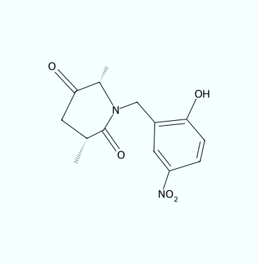 C[C@@H]1CC(=O)[C@H](C)N(Cc2cc([N+](=O)[O-])ccc2O)C1=O